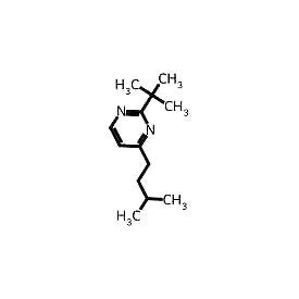 CC(C)CCc1ccnc(C(C)(C)C)n1